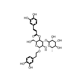 C[C@@H]1OC(O[C@H]2C(OC(=O)/C=C/c3ccc(O)c(O)c3)[C@H](CO)O[C@@H](OCCc3ccc(O)c(O)c3)[C@@H]2O)[C@H](O)[C@H](O)[C@H]1O